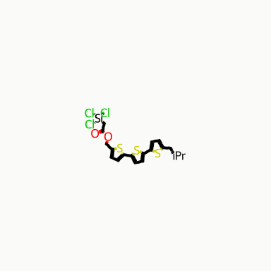 CC(C)Cc1ccc(-c2ccc(-c3ccc(COC(=O)C[Si](Cl)(Cl)Cl)s3)s2)s1